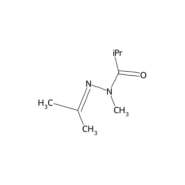 CC(C)=NN(C)C(=O)C(C)C